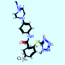 CN1CCN(c2ccc(NC(=O)c3cc([N+](=O)[O-])ccc3Sc3nnnn3C)cc2)CC1